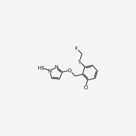 FCSc1cccc(Cl)c1COc1ccn(S)n1